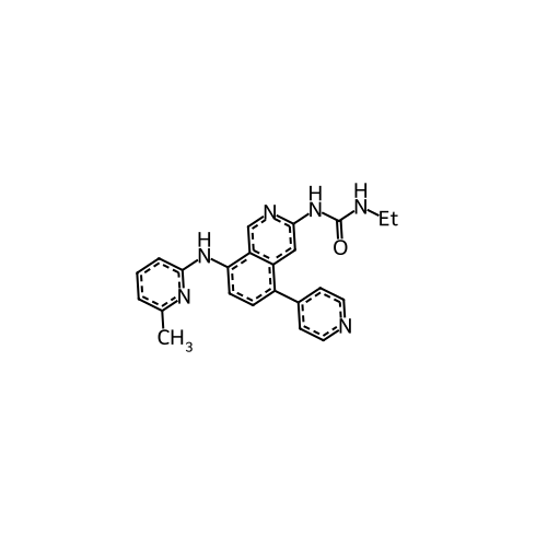 CCNC(=O)Nc1cc2c(-c3ccncc3)ccc(Nc3cccc(C)n3)c2cn1